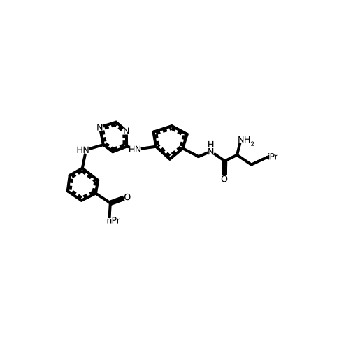 CCCC(=O)c1cccc(Nc2cc(Nc3cccc(CNC(=O)C(N)CC(C)C)c3)ncn2)c1